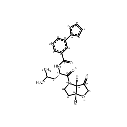 CC(C)C[C@H](NC(=O)c1cncc(-c2cccs2)c1)C(=O)N1CC[C@H]2OCC(=O)[C@H]21